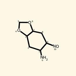 NC1CC2OCOC2CC1N=O